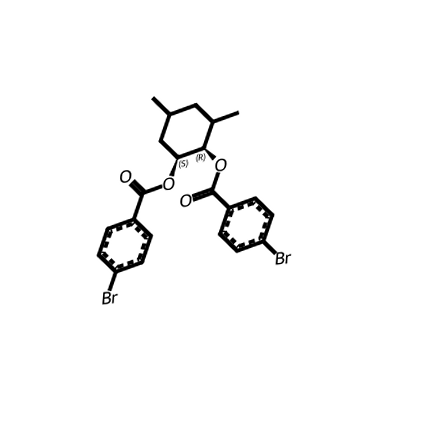 CC1CC(C)[C@@H](OC(=O)c2ccc(Br)cc2)[C@@H](OC(=O)c2ccc(Br)cc2)C1